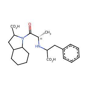 C[C@H](NC(Cc1ccccc1)C(=O)O)C(=O)N1C(C(=O)O)CC2CCCCC21